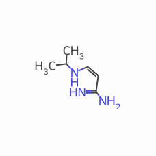 CC(C)N/C=C\C(=N)N